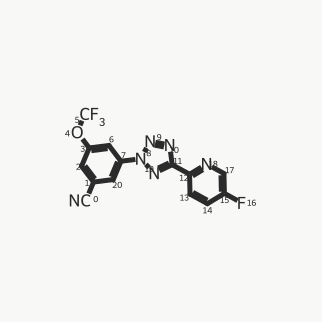 N#Cc1cc(OC(F)(F)F)cc(-n2nnc(-c3ccc(F)cn3)n2)c1